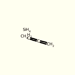 C.C=C=C.[SiH4]